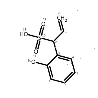 C=CC(c1ccccc1[O])S(=O)(=O)O